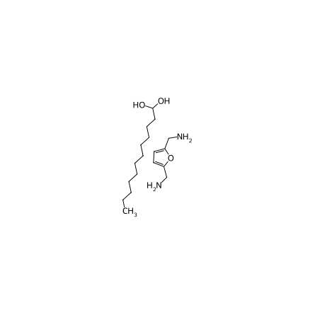 CCCCCCCCCCCC(O)O.NCc1ccc(CN)o1